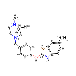 CC(=O)N1CC2C[C@H]1CN2Cc1ccc(Oc2nc3ccc(C)cc3s2)cc1